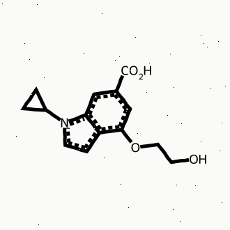 O=C(O)c1cc(OCCO)c2ccn(C3CC3)c2c1